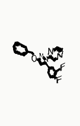 Fc1ccc(-c2cc(OCc3ccccc3)nn2-c2cnccn2)cc1F